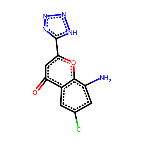 Nc1cc(Cl)cc2c(=O)cc(-c3nnn[nH]3)oc12